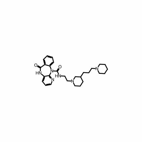 O=C1Nc2cccnc2N(C(=O)NCCN2CCCC(CCCN3CCCCC3)C2)c2ccccc21